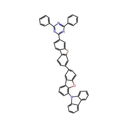 c1ccc(-c2nc(-c3ccccc3)nc(-c3ccc4c(c3)sc3cc(-c5ccc6oc7c(-n8c9ccccc9c9ccccc98)cccc7c6c5)ccc34)n2)cc1